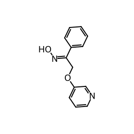 ON=C(COc1cccnc1)c1ccccc1